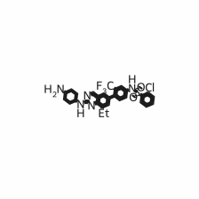 CCc1cc(-c2ccc(NS(=O)(=O)c3ccccc3Cl)cc2C(F)(F)F)cc2cnc(NC3CCC(N)CC3)nc12